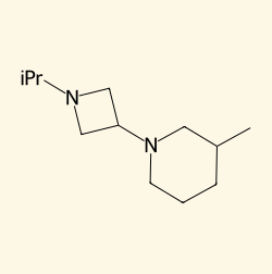 CC1CCCN(C2CN(C(C)C)C2)C1